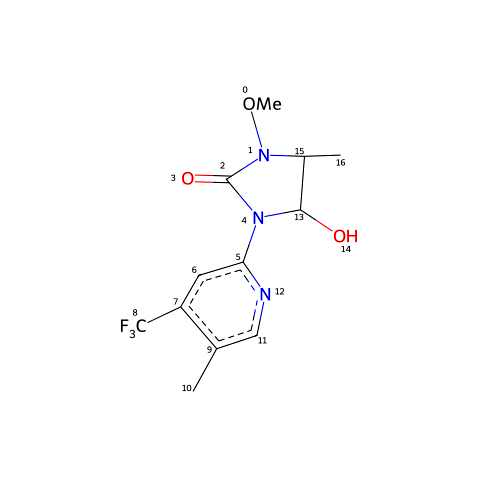 CON1C(=O)N(c2cc(C(F)(F)F)c(C)cn2)C(O)C1C